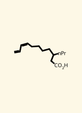 C=C/C=C\CCCCC(CCC)CC(=O)O